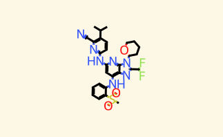 CC(C)c1ccc(Nc2cc(Nc3ccccc3S(C)(=O)=O)c3nc(C(F)F)n(C4CCCCO4)c3n2)nc1C#N